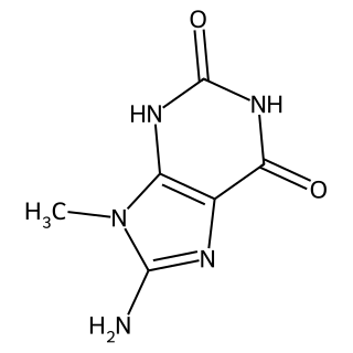 Cn1c(N)nc2c(=O)[nH]c(=O)[nH]c21